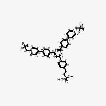 O=P(O)(O)CCc1ccc(-c2nc(-c3ccc(-c4cc[n+](CC(F)(F)F)cc4)cc3)nc(-c3ccc(-c4cc[n+](CC(F)(F)F)cc4)cc3)n2)cc1